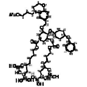 COCCCN1CCOc2ccc(COC3CN(C(=O)OCCCCC(CON(O)O)ON(O)O)CC(OC(=O)OCCCCC(CON(O)O)ON(O)O)C3OC3CCC(Oc4ccccc4)CC3)cc21